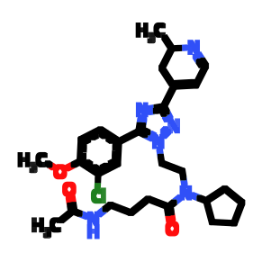 COc1ccc(-c2nc(C3=CC=NC(C)C3)nn2CCN(C(=O)CCCNC(C)=O)C2CCCC2)cc1Cl